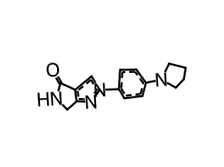 O=C1NCc2nn(-c3ccc(N4CCCC4)cc3)cc21